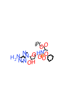 CC(C)OC(=O)C(C)NP(=O)(OC[C@@H]1C[C@@H](O)[C@H](n2cnc3c(N)ncnc32)O1)Oc1ccccc1